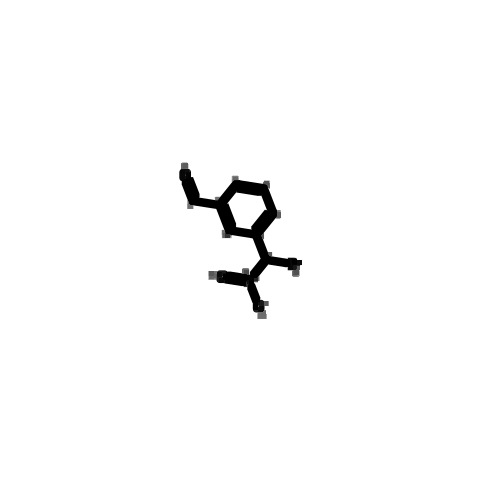 O=Cc1cccc(C(Br)[N+](=O)[O-])c1